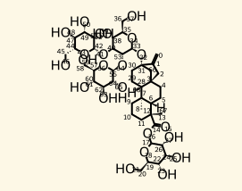 C=C1C[C@@]23CC[C@H]4[C@@](C)(CCC[C@@]4(C)C(=O)OC4O[C@H](CO)[C@@H](O)[C@H](O)[C@H]4O)[C@@H]2CC[C@]1(O[C@@H]1O[C@H](CO)[C@@H](O)[C@H](O[C@@H]2O[C@H](CO)[C@@H](O)[C@H](O)[C@H]2O)[C@H]1O[C@@H]1O[C@H](CO)[C@@H](O)[C@H](O)[C@H]1O)C3